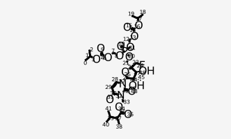 CC(C)OC(=O)OCOP(=O)(OCOC(=O)OC(C)C)OC[C@@]1(CF)O[C@@H](n2ccc(=O)n(COC(=O)C(C)C(C)C)c2=O)[C@](C)(O)[C@@H]1O